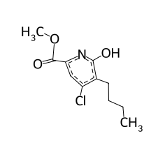 CCCCc1c(Cl)cc(C(=O)OC)nc1O